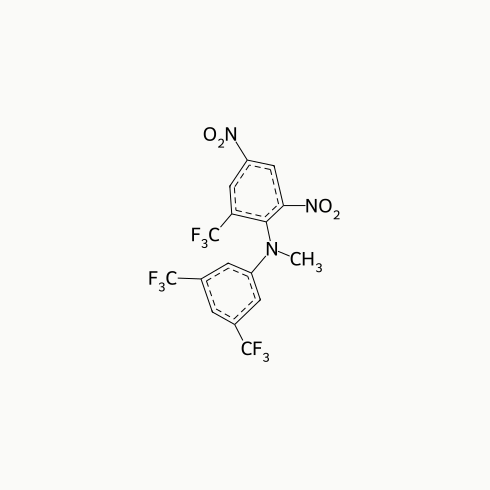 CN(c1cc(C(F)(F)F)cc(C(F)(F)F)c1)c1c([N+](=O)[O-])cc([N+](=O)[O-])cc1C(F)(F)F